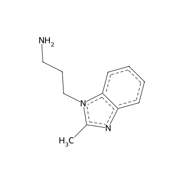 Cc1nc2ccccc2n1CCCN